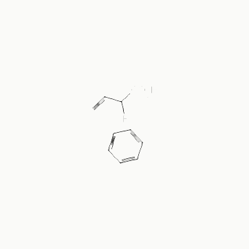 C=CC(F)C(=O)O.c1ccccc1